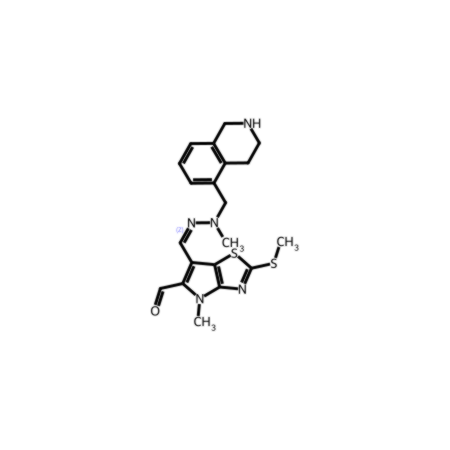 CSc1nc2c(s1)c(/C=N\N(C)Cc1cccc3c1CCNC3)c(C=O)n2C